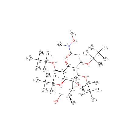 CON(C)C(=O)C[C@H](O[Si](C)(C)C(C)(C)C)[C@H](CO[Si](C)(C)C(C)(C)C)C(=O)[C@H](CO[Si](C)(C)C(C)(C)C)[C@H](O[Si](C)(C)C(C)(C)C)C1(C)O[C@@H]1[C@@H](C)CO